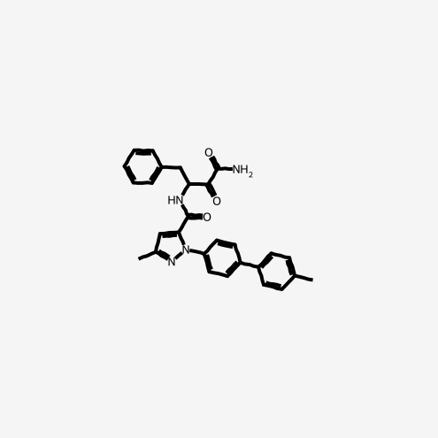 Cc1ccc(-c2ccc(-n3nc(C)cc3C(=O)NC(Cc3ccccc3)C(=O)C(N)=O)cc2)cc1